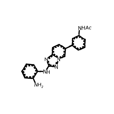 CC(=O)Nc1cccc(-c2ccc3nc(Nc4ccccc4N)nn3c2)c1